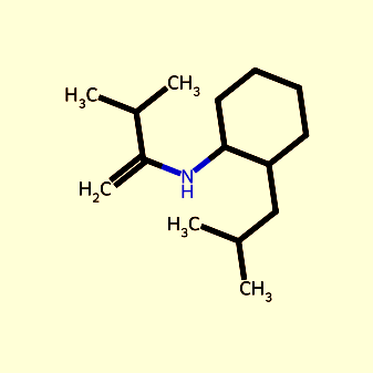 C=C(NC1CCCCC1CC(C)C)C(C)C